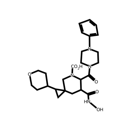 O=C(NO)C1CC2(CC2C2CCOCC2)CN(C(=O)O)C1C(=O)N1CCN(c2ccccc2)CC1